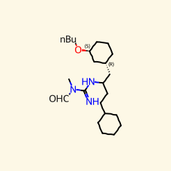 CCCCO[C@H]1CCC[C@H](CC(CCC2CCCCC2)NC(=N)N(C)C=O)C1